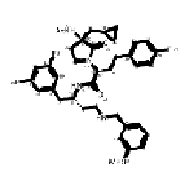 COc1cccc(CNCC[C@H](Cc2cc(F)cc(F)c2)NC(=O)[C@H](CCc2ccc(F)cc2)N2CC[C@@](CC3CC3)(NC(C)=O)C2=O)c1